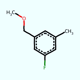 COCc1cc(C)cc(F)c1